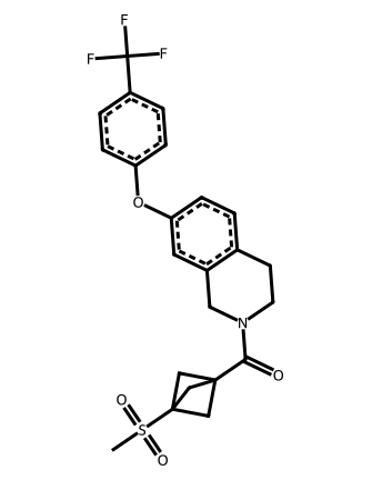 CS(=O)(=O)C12CC(C(=O)N3CCc4ccc(Oc5ccc(C(F)(F)F)cc5)cc4C3)(C1)C2